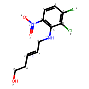 O=[N+]([O-])c1ccc(Cl)c(Cl)c1NC/C=C/CCO